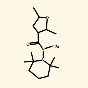 CCCCN(C(=O)C1CC(C)OC1C)N1C(C)(C)CCCC1(C)C